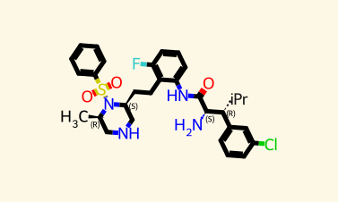 CC(C)[C@H](c1cccc(Cl)c1)[C@H](N)C(=O)Nc1cccc(F)c1CC[C@H]1CNC[C@@H](C)N1S(=O)(=O)c1ccccc1